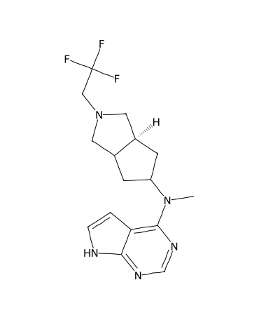 CN(c1ncnc2[nH]ccc12)C1CC2CN(CC(F)(F)F)C[C@H]2C1